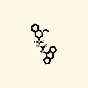 CCN1CC(S(=O)(=O)NC(=O)Nc2c3c(cc4c2CCC4)CCC3)Cc2ccccc21